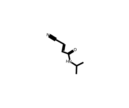 CC(C)NC(=O)C=CC#N